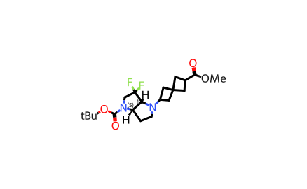 COC(=O)C1CC2(C1)CC(N1CC[C@H]3[C@@H]1C(F)(F)CN3C(=O)OC(C)(C)C)C2